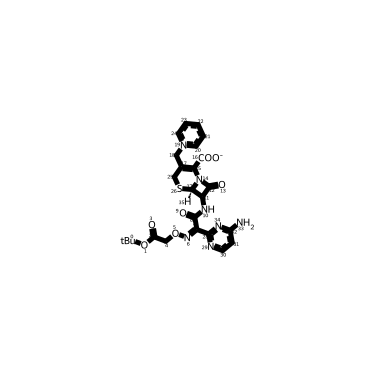 CC(C)(C)OC(=O)CO/N=C(\C(=O)NC1C(=O)N2C(C(=O)[O-])=C(C[n+]3ccccc3)CS[C@H]12)c1nccc(N)n1